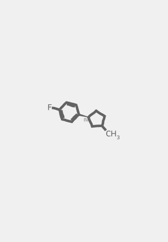 CC1CC[C@H](c2ccc(F)cc2)C1